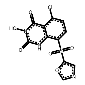 O=c1[nH]c2c(S(=O)(=O)c3cnco3)ccc(Cl)c2c(=O)n1O